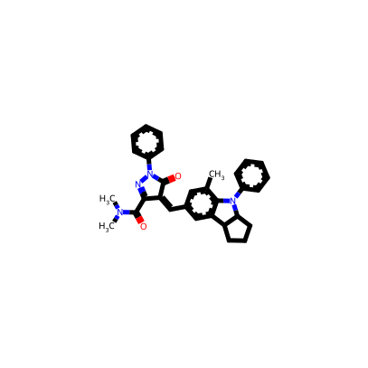 Cc1cc(/C=C2\C(=O)N(c3ccccc3)N=C2C(=O)N(C)C)cc2c1N(c1ccccc1)C1CCCC21